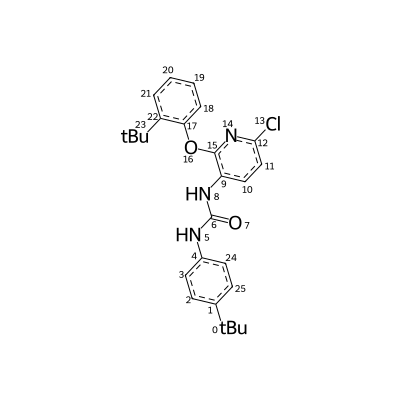 CC(C)(C)c1ccc(NC(=O)Nc2ccc(Cl)nc2Oc2ccccc2C(C)(C)C)cc1